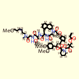 C=CC(=O)OCC(C)(C)C(=O)C(=O)N1CCCCC1C(=O)O[C@H](CCc1ccc(OC)c(OC)c1)c1cccc(OCC(=O)N2c3ccc4cccc(c4c3)CC(C(=O)N(C)C(COC(C)(C)C)C(=O)NCC(=O)N(C)CC/C=C\CCOC)NC(=O)C2CCCC)c1